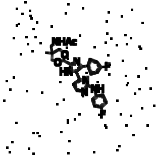 CC(=O)NCC1(C)COC(c2nc(-c3ccc(F)cc3)c(-c3ccnc(Nc4ccc(F)cc4)n3)[nH]2)OC1